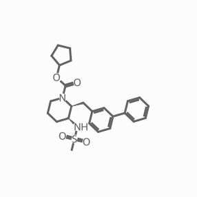 CS(=O)(=O)N[C@H]1CCCN(C(=O)OC2CCCC2)[C@H]1Cc1cccc(-c2ccccc2)c1